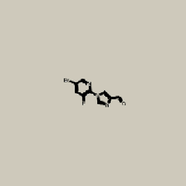 O=Cc1cn(-c2ncc(Br)cc2F)cn1